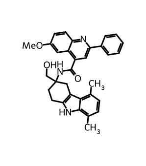 COc1ccc2nc(-c3ccccc3)cc(C(=O)NC3(CO)CCc4[nH]c5c(C)ccc(C)c5c4C3)c2c1